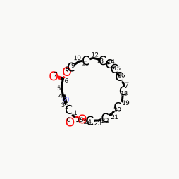 O=C1C/C=C\CC(=O)OCCCCCCCCCCCCCCCCO1